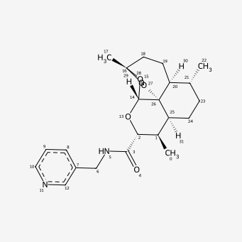 C[C@H]1[C@H](C(=O)NCc2cccnc2)O[C@@H]2O[C@@]3(C)CC[C@H]4[C@H](C)CC[C@@H]1[C@@]24OO3